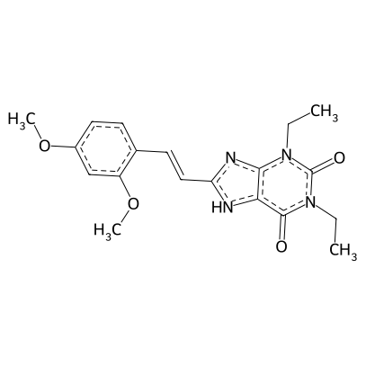 CCn1c(=O)c2[nH]c(C=Cc3ccc(OC)cc3OC)nc2n(CC)c1=O